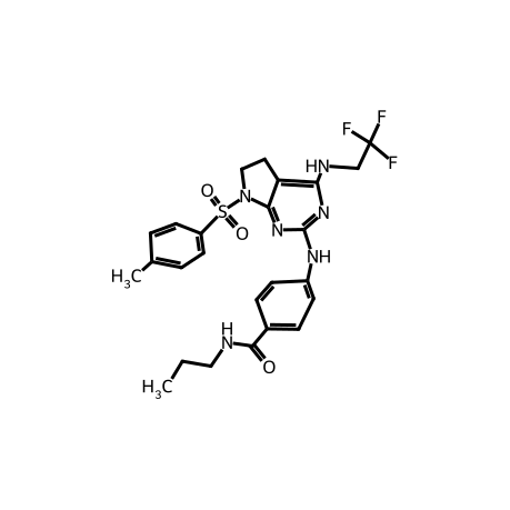 CCCNC(=O)c1ccc(Nc2nc(NCC(F)(F)F)c3c(n2)N(S(=O)(=O)c2ccc(C)cc2)CC3)cc1